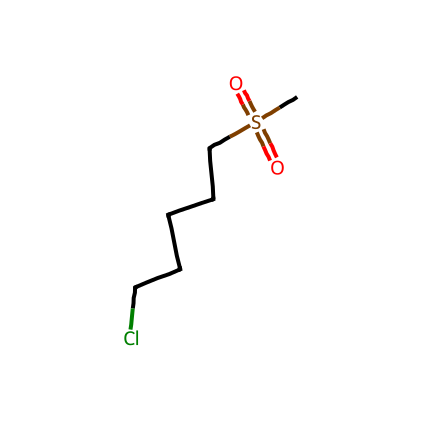 CS(=O)(=O)CCCCCCl